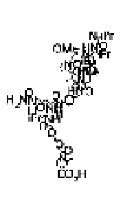 CC[C@H](C)[C@@H]([C@@H](CC(=O)N1CCC[C@H]1[C@H](OC)[C@@H](C)C(=O)N[C@@H](Cc1ccccc1)C(=O)NCc1ccc(NC(=O)[C@H](CCCNC(N)=O)NC(=O)[C@@H](NC(=O)COCCOCC(=O)N2CCC(C(=O)O)CC2C)C(C)C)cc1)OC)N(C)C(=O)[C@@H](NC(=O)[C@H](C(C)C)N(C)C)C(C)C